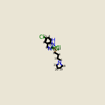 Cl.Cl.Clc1ccc2c(c1)CN=C(SCCCCN1CCCC1)N2